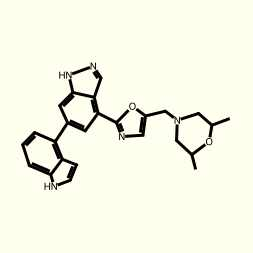 CC1CN(Cc2cnc(-c3cc(-c4cccc5[nH]ccc45)cc4[nH]ncc34)o2)CC(C)O1